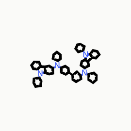 c1ccc(N(c2ccc(-c3cccc(N(c4ccccc4)c4ccc5c(c4)c4ccccc4n5-c4ccccc4)c3)cc2)c2ccc3c(c2)c2ccccc2n3-c2ccccc2)cc1